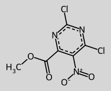 COC(=O)c1nc(Cl)nc(Cl)c1[N+](=O)[O-]